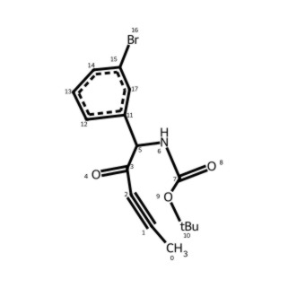 CC#CC(=O)C(NC(=O)OC(C)(C)C)c1cccc(Br)c1